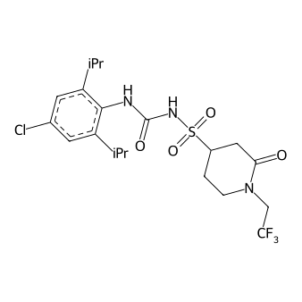 CC(C)c1cc(Cl)cc(C(C)C)c1NC(=O)NS(=O)(=O)C1CCN(CC(F)(F)F)C(=O)C1